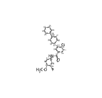 COc1ccc(NC(=O)c2ccc(Cl)c(-c3ccc(-c4ccccc4)cc3)c2)cc1F